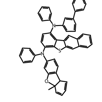 CC12C=CC=CC1c1ccc(N(c3ccccc3)c3ccc(N(c4ccccc4)c4cccc(-c5ccccc5)c4)c4c3sc3cc5ccccc5cc34)cc1O2